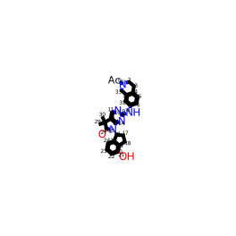 CC(=O)N1CCc2ccc(Nc3ncc4c(n3)N([C@@H]3CCc5c(O)cccc53)C(=O)C4(C)C)cc2C1